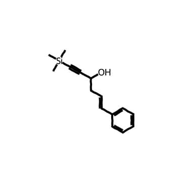 C[Si](C)(C)C#CC(O)CC=Cc1ccccc1